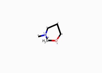 CN1CCCO[SiH2]1